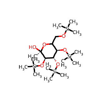 C[C@]1(O)OC(CO[Si](C)(C)C)[C@@H](O[Si](C)(C)C)[C@H](O[Si](C)(C)C)[C@H]1O[Si](C)(C)C